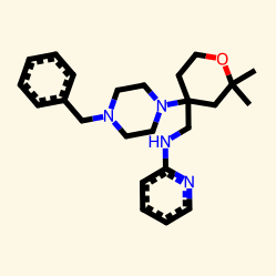 CC1(C)CC(CNc2ccccn2)(N2CCN(Cc3ccccc3)CC2)CCO1